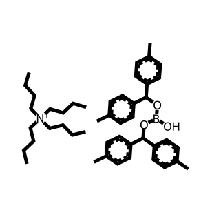 CCCC[N+](CCCC)(CCCC)CCCC.Cc1ccc(C(OB(O)OC(c2ccc(C)cc2)c2ccc(C)cc2)c2ccc(C)cc2)cc1